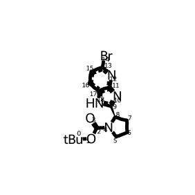 CC(C)(C)OC(=O)N1CCC[C@@H]1c1nc2nc(Br)ccc2[nH]1